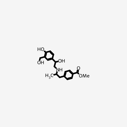 COC(=O)c1ccc(CC(C)NCC(O)c2ccc(O)c(CO)c2)cc1